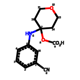 N#Cc1cccc(NC2(OC(=O)O)CCOCC2)c1